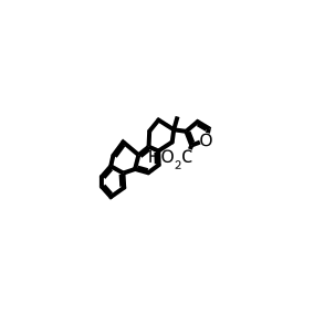 CC1(c2ccoc2C(=O)O)CCc2c(ccc3c2ccc2ccccc23)C1